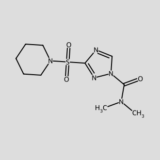 CN(C)C(=O)n1cnc(S(=O)(=O)N2CCCCC2)n1